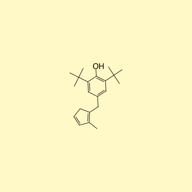 CC1=C(Cc2cc(C(C)(C)C)c(O)c(C(C)(C)C)c2)CC=C1